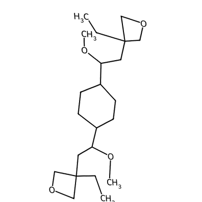 CCC1(CC(OC)C2CCC(C(CC3(CC)COC3)OC)CC2)COC1